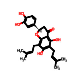 CC(C)=CCc1c(O)c(CC=C(C)C)c2c(c1O)C(=O)C[C@@H](c1ccc(O)c(O)c1)O2